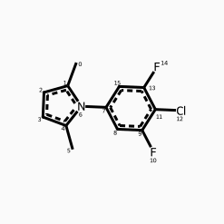 Cc1ccc(C)n1-c1cc(F)c(Cl)c(F)c1